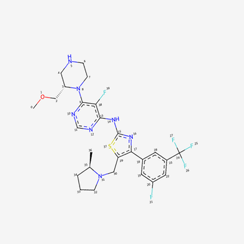 COC[C@@H]1CNCCN1c1ncnc(Nc2nc(-c3cc(F)cc(C(F)(F)F)c3)c(CN3CCC[C@H]3C)s2)c1F